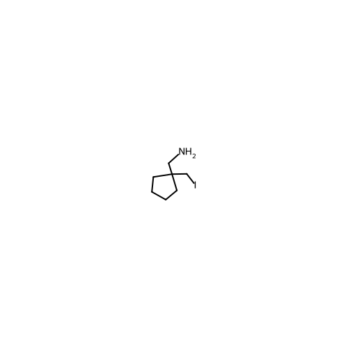 NCC1(CI)CCCC1